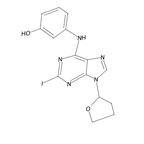 Oc1cccc(Nc2nc(I)nc3c2ncn3C2CCCO2)c1